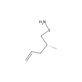 C=CC[C@@H](C)CSN